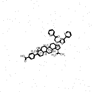 C=C(C)[C@@H]1CC[C@]2(N(CC(=O)c3ccccn3)c3nc(-c4ccccn4)cs3)CC[C@]3(C)[C@H](CC[C@@H]4[C@@]5(C)CC=C(c6ccc(C(=O)O)cc6)C(C)(C)[C@@H]5CC[C@]43C)[C@@H]12